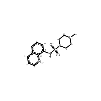 CN1CCN(S(=O)(=O)Nc2cccc3cccnc23)CC1